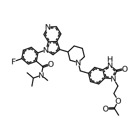 CC(=O)OCCn1c(=O)[nH]c2cc(CN3CCCC(c4cn(-c5ccc(F)cc5C(=O)N(C)C(C)C)c5cnccc45)C3)ccc21